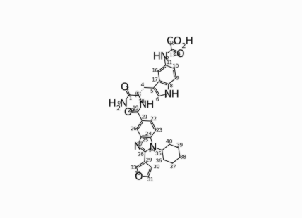 NC(=O)[C@H](Cc1c[nH]c2ccc(NC(=O)C(=O)O)cc12)NC(=O)c1ccc2c(c1)nc(-c1ccoc1)n2C1CCCCC1